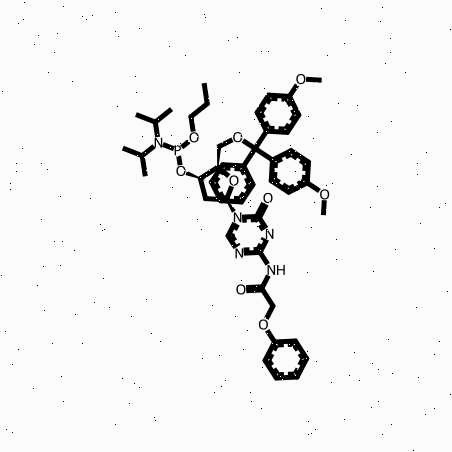 CCCOP(O[C@@H]1C[C@H](n2cnc(NC(=O)COc3ccccc3)nc2=O)O[C@@H]1COC(c1ccccc1)(c1ccc(OC)cc1)c1ccc(OC)cc1)N(C(C)C)C(C)C